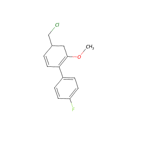 COC1=C(c2ccc(F)cc2)C=CC(CCl)C1